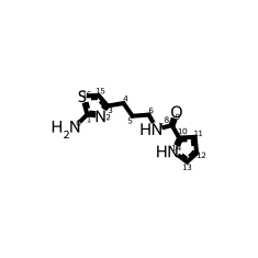 Nc1nc(CCCNC(=O)c2ccc[nH]2)cs1